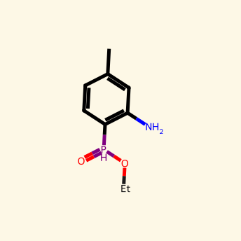 CCO[PH](=O)c1ccc(C)cc1N